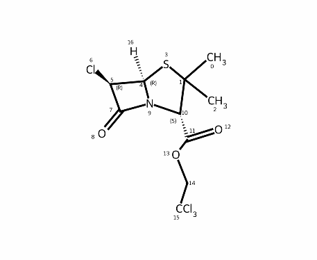 CC1(C)S[C@@H]2[C@H](Cl)C(=O)N2[C@H]1C(=O)OCC(Cl)(Cl)Cl